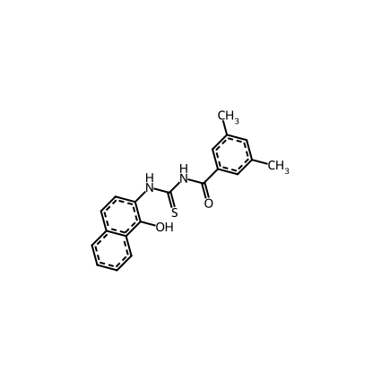 Cc1cc(C)cc(C(=O)NC(=S)Nc2ccc3ccccc3c2O)c1